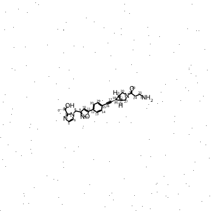 C[C@H](O)c1nccn1Cc1cc(-c2ccc(C#C[C@H]3[C@H]4CN(C(=O)CCN)C[C@@H]34)cc2)on1